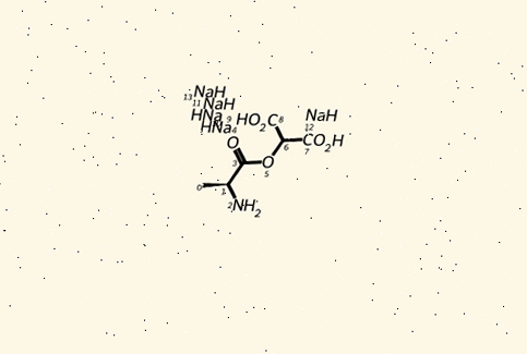 C[C@H](N)C(=O)OC(C(=O)O)C(=O)O.[NaH].[NaH].[NaH].[NaH].[NaH]